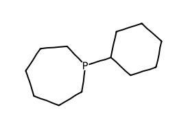 C1CCC(P2CCCCCC2)CC1